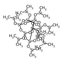 C[Si](C)O[Si]12O[Si]3(O[Si](C)C)O[Si]4(O[Si](C)C)O[Si](O[Si](C)C)(O1)O[Si]1(O[Si](C)C)O[Si](O[Si](C)C)(O2)O[Si](O[Si](C)C)(O3)O[Si](O[Si](C)C)(O4)O1